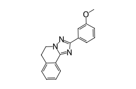 COc1cccc(-c2nc3n(n2)CCc2ccccc2-3)c1